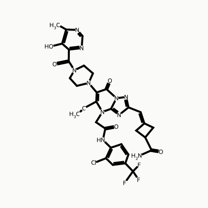 CCc1c(N2CCN(C(=O)c3ncnc(C)c3O)CC2)c(=O)n2nc(C=C3CC(C(N)=O)C3)nc2n1CC(=O)Nc1ccc(C(F)(F)F)cc1Cl